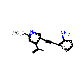 C=C(C)c1cc(C(=O)O)ncc1C#Cc1ccccc1N